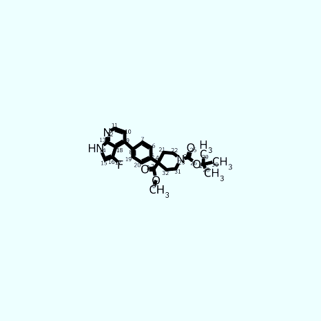 COC(=O)C1(c2ccc(-c3ccnc4[nH]cc(F)c34)cc2)CCN(C(=O)OC(C)(C)C)CC1